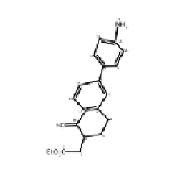 CCOC(=O)CC1CCc2cc(-c3ccc(N)cc3)ccc2C1=O